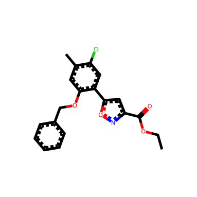 CCOC(=O)c1cc(-c2cc(Cl)c(C)cc2OCc2ccccc2)on1